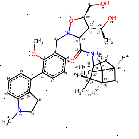 COc1c(CN2O[C@@H](CO)[C@H]([C@H](C)O)[C@H]2C(=O)N[C@H]2C[C@H]3C[C@@H]([C@@H]2C)C3(C)C)cccc1-c1cccc2c1CCN2C